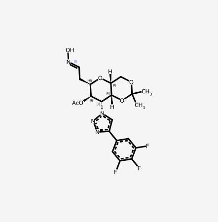 CC(=O)O[C@@H]1[C@@H](n2cc(-c3cc(F)c(F)c(F)c3)nn2)[C@H]2OC(C)(C)OC[C@H]2O[C@@H]1C/C=N/O